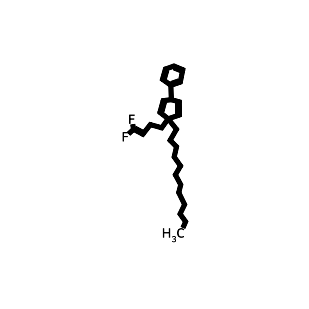 CCCCCCCCCCCCC1(CCC=C(F)F)C=CC(c2ccccc2)C=C1